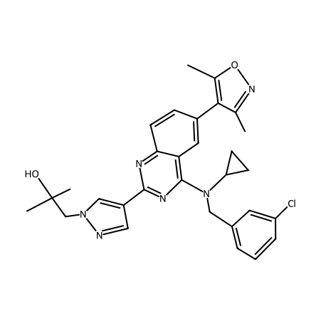 Cc1noc(C)c1-c1ccc2nc(-c3cnn(CC(C)(C)O)c3)nc(N(Cc3cccc(Cl)c3)C3CC3)c2c1